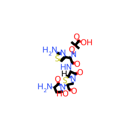 CC(C)(O/N=C(/C(=O)N[C@@H]1C(=O)N2C[C@@](C(=O)O)(N3CC[C@H](N)C3=O)S[C@H]12)c1csc(N)n1)C(=O)O